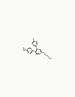 CCCCCc1cnc(-c2ccc(OC)cc2)c(-c2ccc(C)cc2)c1